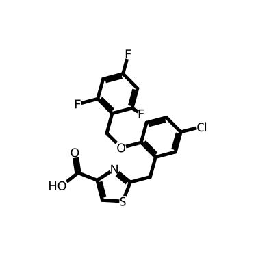 O=C(O)c1csc(Cc2cc(Cl)ccc2OCc2c(F)cc(F)cc2F)n1